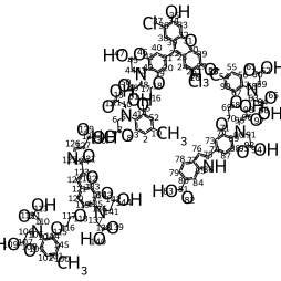 Cc1ccc(N(CC(=O)O)CC(=O)O)c(OCCOc2cc(-c3c4cc(Cl)c(=O)cc-4oc4cc(O)c(Cl)cc34)ccc2N(CC(=O)O)CC(=O)O)c1.Cc1ccc(N(CC(=O)O)CC(=O)O)c(OCCOc2cc(-c3cc4ccc(C(=O)O)cc4[nH]3)ccc2N(CC(=O)O)CC(=O)O)c1.Cc1ccc(N(CC(=O)O)CC(=O)O)c(OCCOc2cc3cc(-c4ncc(C(=O)O)o4)oc3cc2N(CC(=O)O)CC(=O)O)c1